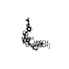 CC(C)(C)OC(=O)N1CCCC(CNC(=O)c2c[nH]c3c(C4=COC(c5cccc(OCC6CC6)c5)O4)ncnc23)C1